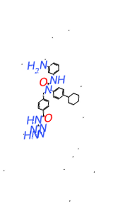 Nc1cccc(NC(=O)N(Cc2ccc(C(=O)Nc3nn[nH]n3)cc2)c2ccc(C3CCCCC3)cc2)c1